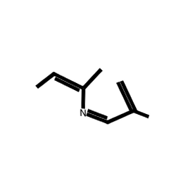 C=C(C)/C=N\C(C)=C/C